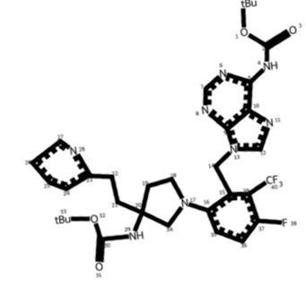 CC(C)(C)OC(=O)Nc1ncnc2c1ncn2Cc1c(N2CCC(CCc3ccccn3)(NC(=O)OC(C)(C)C)C2)ccc(F)c1C(F)(F)F